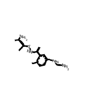 C=C(NS/C(C)=C(/C)N)c1cc(NCN)ccc1C